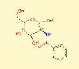 O=C(N[C@@H]1C(O)OC(CO)[C@@H](O)C1O)c1ccccc1